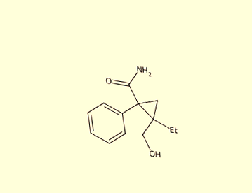 CCC1(CO)CC1(C(N)=O)c1ccccc1